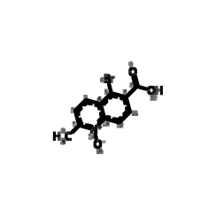 Cc1ccc2c(Br)c(C(=O)O)ccc2[n+]1[O-]